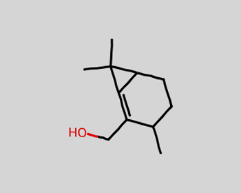 CC1CCC2C(=C1CO)C2(C)C